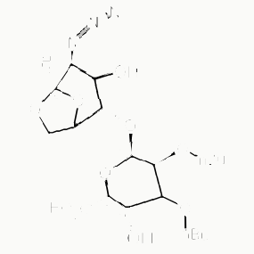 CCCCOC1[C@H](O)[C@H](C(=O)O)O[C@@H](O[C@@H]2C3CO[C@H](O3)[C@@H](N=[N+]=[N-])C2O)[C@H]1OCCCC